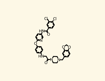 O=C(Nc1ccc(Oc2ccc(NCC(=O)N3CCN(Cc4ccc5c(c4)OCO5)CC3)cc2)nc1)c1ccc(Cl)c(Cl)c1